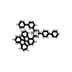 c1ccc(-c2ccc(-c3nc(-c4cccc(-c5ccccc5)c4)nc(-c4cccc5c4-c4ccccc4C54c5ccccc5-c5ccccc54)n3)cc2)cc1